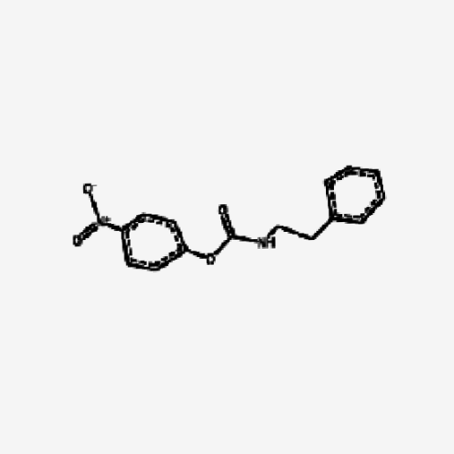 O=C(NCCc1ccccc1)Oc1ccc([N+](=O)[O-])cc1